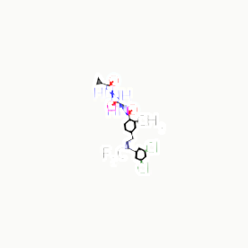 Cc1cc(C/C=C(\c2cc(Cl)cc(Cl)c2)C(F)(F)F)ccc1C(=O)NCC(=O)NNC(=O)C1CC1